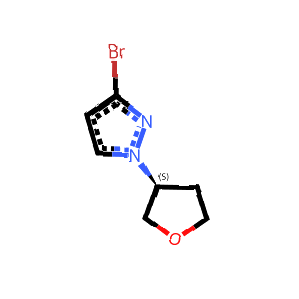 Brc1ccn([C@H]2CCOC2)n1